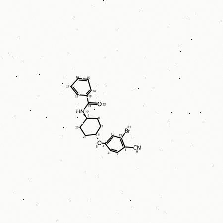 N#Cc1ccc(O[C@H]2CC[C@H](NC(=O)c3ccccc3)CC2)cc1Br